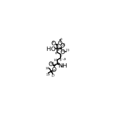 COC(=O)C(O)(CC[C@H](C)CC(=N)C(=O)OC(C)(C)C)C(=O)OC